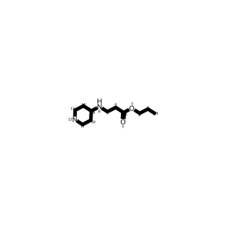 CCCOC(=O)CCNC1CC[N]CC1